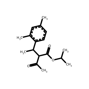 CC(=O)C(C(=O)OC(C)C)C(C)c1ccc(C)cc1C